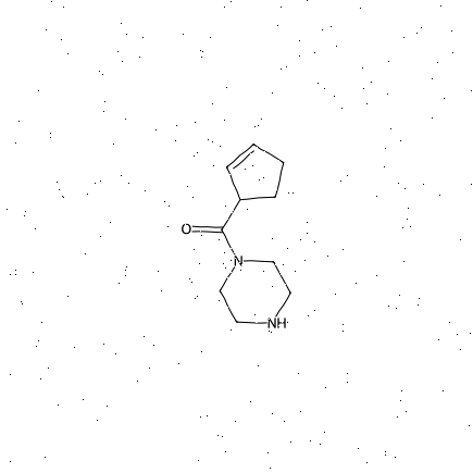 O=C(C1C=CCC1)N1CCNCC1